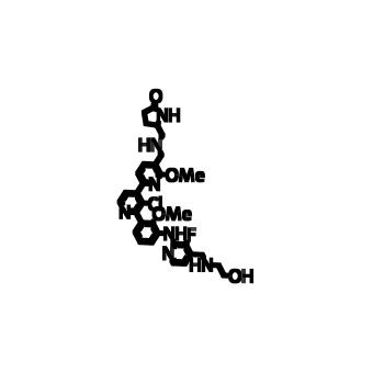 COc1nc(-c2ccnc(-c3cccc(Nc4nccc(CNCCO)c4F)c3OC)c2Cl)ccc1CNCC1CCC(=O)N1